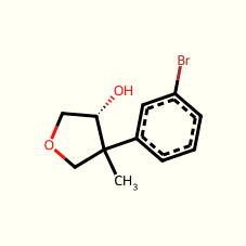 CC1(c2cccc(Br)c2)COC[C@@H]1O